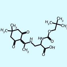 CC(NCC(NC(=O)OCC(C)(C)C)C(=O)O)=C1C(=O)CC(C)(C)CC1=O